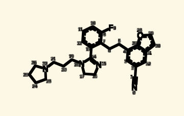 N#Cc1cc(CCc2c(F)cccc2C2=NCCN2CCCN2CCCC2)c2occc2c1